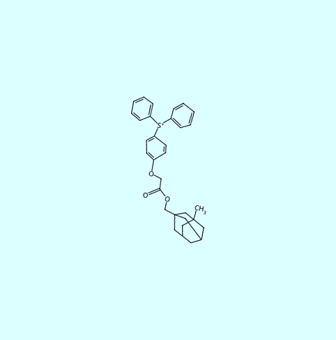 CC12CC3CC(C1)CC(COC(=O)COc1ccc([S+](c4ccccc4)c4ccccc4)cc1)(C3)C2